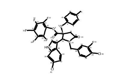 Cc1ccc(O[C@@]2(C(=O)Oc3c(F)c(F)c(F)c(F)c3F)CC(=O)N(Cc3ccc(Cl)c(F)c3)C2c2c[nH]c3cc(Cl)ccc23)cc1